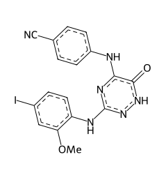 COc1cc(I)ccc1Nc1n[nH]c(=O)c(Nc2ccc(C#N)cc2)n1